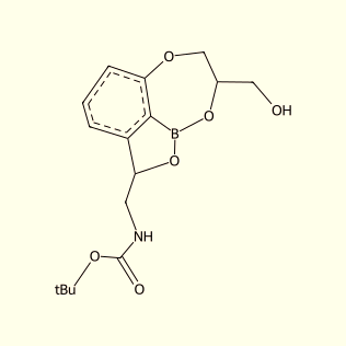 CC(C)(C)OC(=O)NCC1OB2OC(CO)COc3cccc1c32